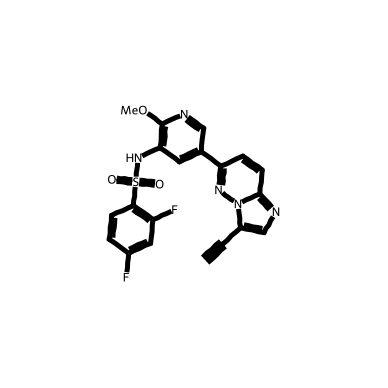 C#Cc1cnc2ccc(-c3cnc(OC)c(NS(=O)(=O)c4ccc(F)cc4F)c3)nn12